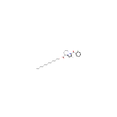 CCCCCCCCCCCCOC(=O)C1CCCn2c1cc(C)c2C(=O)c1ccccc1F